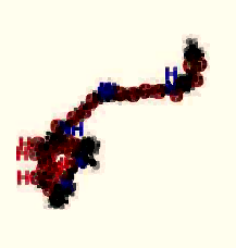 CC[C@@H]1CN(C(=O)CCCC(=O)N2CCc3c2cc(O[C@H]2C[C@@H](O)[C@@H](O)C(CO)O2)c2ccccc32)c2cc(OS(=O)(=O)Oc3cc(C(=O)NCCOCCOCCOCCn4cc(COCCOCCOCCOCCNC(=O)c5ccc(C(=O)CCS(=O)(=O)c6ccc(C)cc6)cc5)nn4)ccc3O[C@H]3CC(O)[C@@H](O)[C@@H](CO)O3)c3ccccc3c21